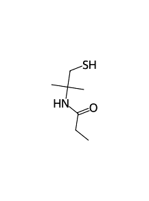 CCC(=O)NC(C)(C)CS